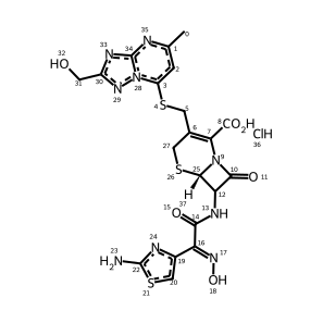 Cc1cc(SCC2=C(C(=O)O)N3C(=O)C(NC(=O)C(=NO)c4csc(N)n4)[C@@H]3SC2)n2nc(CO)nc2n1.Cl